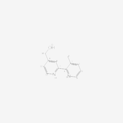 Cc1cccnc1-c1cc(CO)ccn1